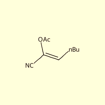 CCCC/C=C(/C#N)OC(C)=O